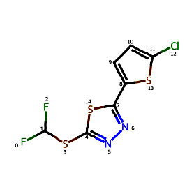 FC(F)Sc1nnc(-c2ccc(Cl)s2)s1